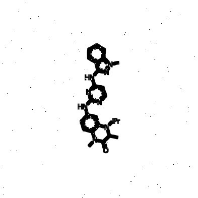 CC(C)N1c2cc(Nc3nccc(Nc4nn(C)c5ccccc45)n3)ccc2N(C)C(=O)C1C